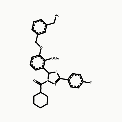 COc1c(OCc2cccc(CC(C)=O)c2)cccc1C1SC(c2ccc(F)cc2)=NN1C(=O)C1CCCCC1